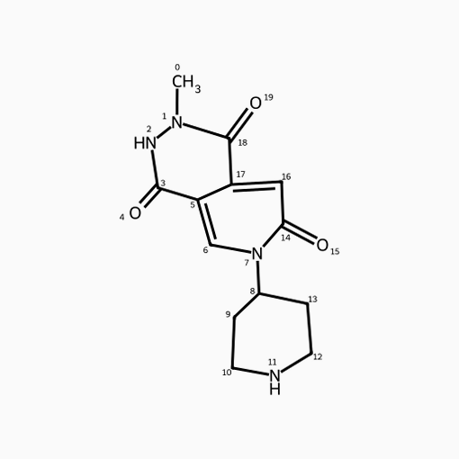 Cn1[nH]c(=O)c2cn(C3CCNCC3)c(=O)cc2c1=O